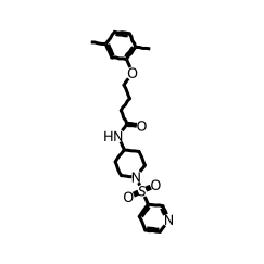 Cc1ccc(C)c(OCCCC(=O)NC2CCN(S(=O)(=O)c3cccnc3)CC2)c1